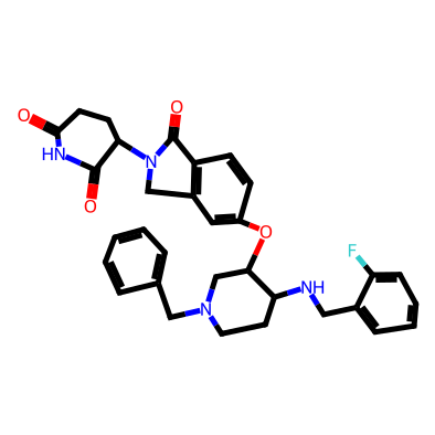 O=C1CCC(N2Cc3cc(OC4CN(Cc5ccccc5)CCC4NCc4ccccc4F)ccc3C2=O)C(=O)N1